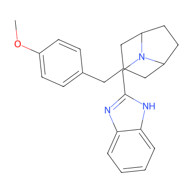 COc1ccc(CC2CC3CCC(C2)N3Cc2nc3ccccc3[nH]2)cc1